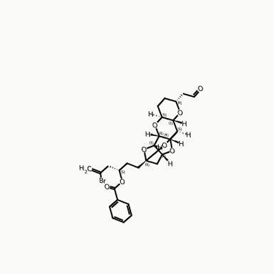 C=C(Br)C[C@H](CC[C@]12C[C@H]3O[C@H]4[C@@H](O1)[C@H]1O[C@@H](CC=O)CC[C@@H]1O[C@H]4[C@H]3O2)OC(=O)c1ccccc1